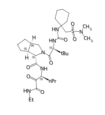 CCC[C@H](NC(=O)[C@@H]1[C@H]2CCC[C@H]2CN1C(=O)[C@@H](NC(=O)NC1(CS(=O)(=O)N(C)C)CCCCC1)C(C)(C)C)C(=O)C(=O)NCC